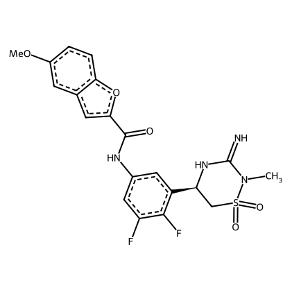 COc1ccc2oc(C(=O)Nc3cc(F)c(F)c([C@@H]4CS(=O)(=O)N(C)C(=N)N4)c3)cc2c1